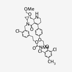 CNC(=O)OCCc1ccc(Cl)c(CN(C(=O)C2=C(c3ccc(OCCOc4c(Cl)cc(C)cc4Cl)cc3)CCN[C@@H]2COCOC)C2CC2)c1